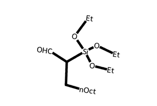 CCCCCCCCCC(C=O)[Si](OCC)(OCC)OCC